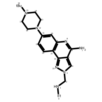 CCNCn1cc2c(N)nc3cc(N4CCN(C(C)(C)C)CC4)ccc3c2n1